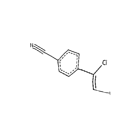 N#Cc1ccc(C(Cl)=CI)cc1